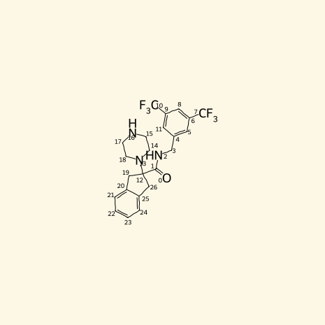 O=C(NCc1cc(C(F)(F)F)cc(C(F)(F)F)c1)C1(N2CCNCC2)Cc2ccccc2C1